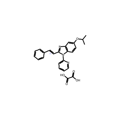 CC(C)Oc1ccc2c(c1)nc(/C=C/c1ccccc1)n2-c1ccccn1.O=C(O)C(=O)O